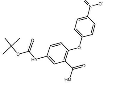 CC(C)(C)OC(=O)Nc1ccc(Oc2ccc([N+](=O)[O-])cc2)c(C(=O)O)c1